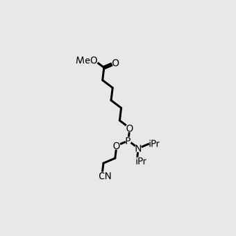 COC(=O)CCCCCOP(OCCC#N)N(C(C)C)C(C)C